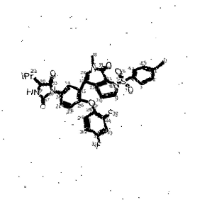 Cc1ccc(S(=O)(=O)n2ccc3c(-c4cc(N5C(=O)NC(C(C)C)C5=O)ccc4Oc4ccc(F)cc4F)cn(C)c(=O)c32)cc1